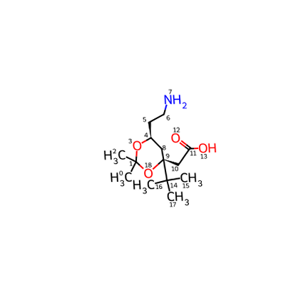 CC1(C)O[C@@H](CCN)C[C@](CC(=O)O)(C(C)(C)C)O1